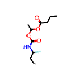 [CH2]CC(F)NC(=O)OC(C)OC(=O)CCC